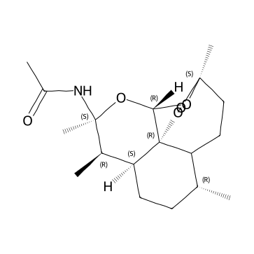 CC(=O)N[C@@]1(C)O[C@@H]2O[C@]3(C)CCC4[C@H](C)CC[C@@H]([C@H]1C)[C@]42OO3